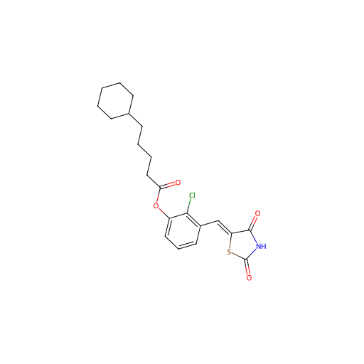 O=C(CCCCC1CCCCC1)Oc1cccc(/C=C2\SC(=O)NC2=O)c1Cl